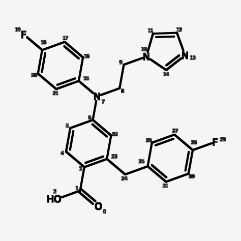 O=C(O)c1ccc(N(CCn2ccnc2)c2ccc(F)cc2)cc1Cc1ccc(F)cc1